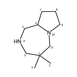 CC1(C)CNCC2CCCN2C1